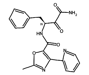 Cc1nc(-c2ccccn2)c(C(=O)N[C@@H](Cc2ccccc2)C(=O)C(N)=O)o1